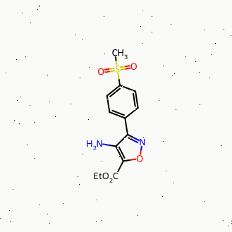 CCOC(=O)c1onc(-c2ccc(S(C)(=O)=O)cc2)c1N